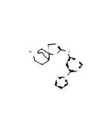 [O-][N+]12CCC(CC1)[C@]1(CN=C(Nc3cc(-n4cccn4)ncn3)O1)C2